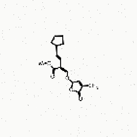 COC(=O)C(=COC1C=C(C)C(=O)O1)/C=C/C1CCCC1